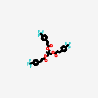 CC(COC(=O)/C=C/c1ccc(C(F)(F)F)cc1)(COC(=O)/C=C/c1ccc(C(F)(F)F)cc1)COC(=O)/C=C/c1ccc(C(F)(F)F)cc1